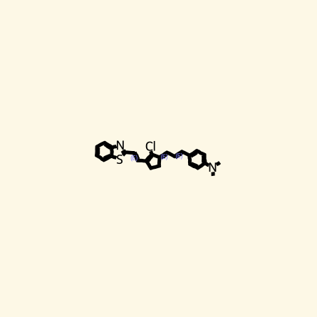 CN(C)c1ccc(/C=C/C=C2\CCC(/C=C/c3nc4ccccc4s3)=C2Cl)cc1